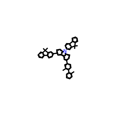 Cc1ccccc1-c1ccc(-c2ccc3c(c2)c2cc(-c4ccc5c(c4)C(C)(C)c4ccccc4-5)ccc2n3-c2ccc3c(c2)C(C)(C)c2ccccc2-3)cc1C